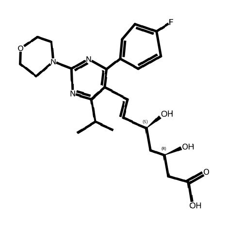 CC(C)c1nc(N2CCOCC2)nc(-c2ccc(F)cc2)c1C=C[C@@H](O)C[C@@H](O)CC(=O)O